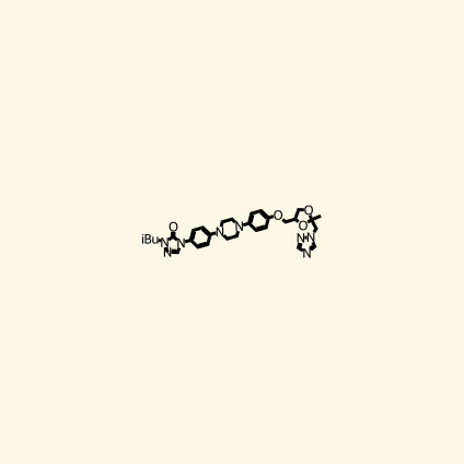 CCC(C)n1ncn(-c2ccc(N3CCN(c4ccc(OCC5COC(C)(Cn6cncn6)O5)cc4)CC3)cc2)c1=O